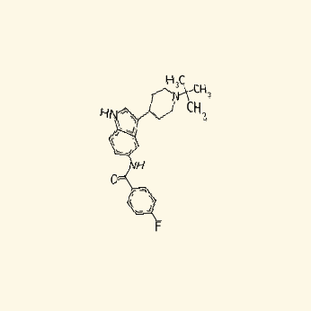 CC(C)(C)N1CCC(c2c[nH]c3ccc(NC(=O)c4ccc(F)cc4)cc23)CC1